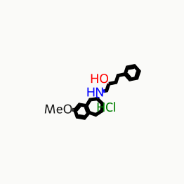 COc1ccc2c(c1)CC(NCC(O)CCc1ccccc1)CCC2.Cl